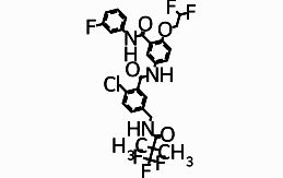 CC(C)(C(=O)NCc1ccc(Cl)c(C(=O)Nc2ccc(OCC(F)F)c(C(=O)Nc3cccc(F)c3)c2)c1)C(F)(F)F